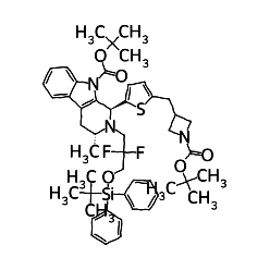 C[C@@H]1Cc2c(n(C(=O)OC(C)(C)C)c3ccccc23)[C@@H](c2ccc(CC3CN(C(=O)OC(C)(C)C)C3)s2)N1CC(F)(F)CO[Si](c1ccccc1)(c1ccccc1)C(C)(C)C